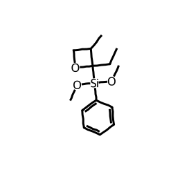 CCC1([Si](OC)(OC)c2ccccc2)OCC1C